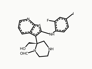 O=CN1CCNC[C@@]1(CO)c1c(Nc2ccc(I)cc2F)sc2ncccc12